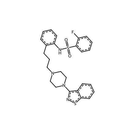 O=S(=O)(Nc1ccccc1CCCN1CCN(c2nsc3ccccc23)CC1)c1ccccc1F